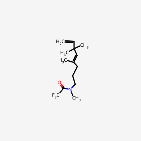 C=CC(C)(C)/C=C(\C)CCCN(C)C(=O)C(F)(F)F